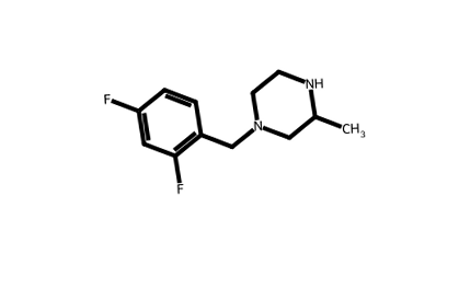 CC1CN(Cc2ccc(F)cc2F)CCN1